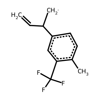 [CH2]C(C=C)c1ccc(C)c(C(F)(F)F)c1